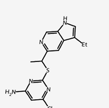 CCc1c[nH]c2cnc(C(C)Sc3nc(N)cc(Cl)n3)cc12